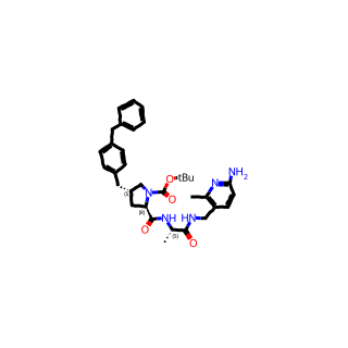 Cc1nc(N)ccc1CNC(=O)[C@H](C)NC(=O)[C@H]1C[C@H](Cc2ccc(Cc3ccccc3)cc2)CN1C(=O)OC(C)(C)C